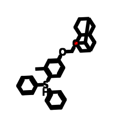 Cc1cc(OCOC2C3CCC4CCC2CC4C3)ccc1[SH](c1ccccc1)c1ccccc1